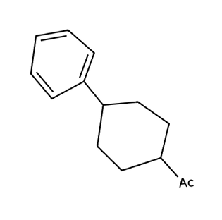 CC(=O)C1CCC(c2ccccc2)CC1